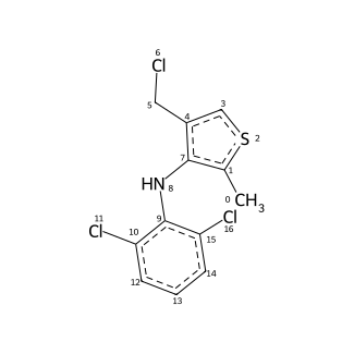 Cc1scc(CCl)c1Nc1c(Cl)cccc1Cl